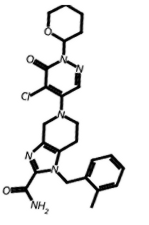 Cc1ccccc1Cn1c(C(N)=O)nc2c1CCN(c1cnn(C3CCCCO3)c(=O)c1Cl)C2